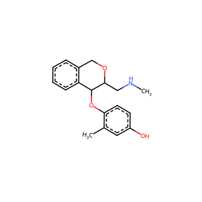 CNCC1OCc2ccccc2C1Oc1ccc(O)cc1C